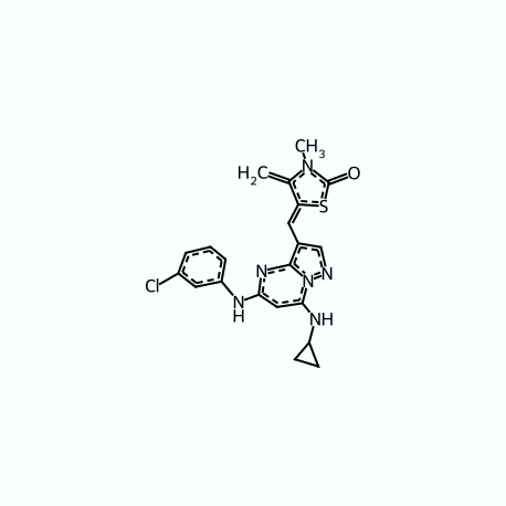 C=c1/c(=C/c2cnn3c(NC4CC4)cc(Nc4cccc(Cl)c4)nc23)sc(=O)n1C